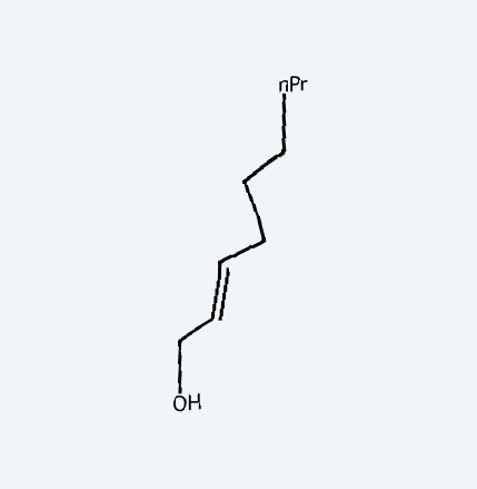 CCCCCCC=CCO